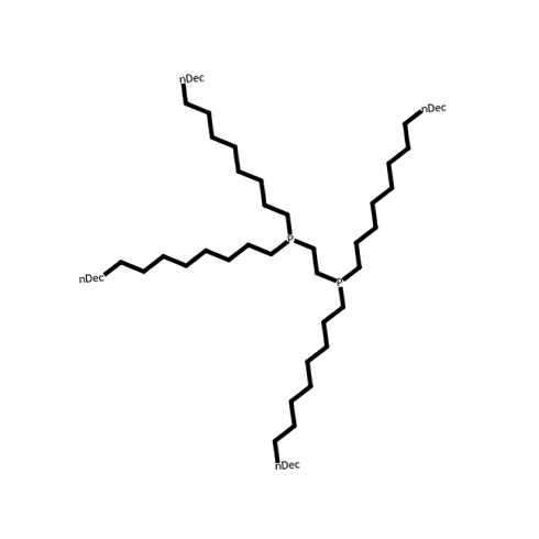 CCCCCCCCCCCCCCCCCCP(CCCCCCCCCCCCCCCCCC)CCP(CCCCCCCCCCCCCCCCCC)CCCCCCCCCCCCCCCCCC